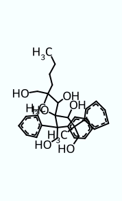 CCCCC(C)(CO)C(O)C(O)(C(O)C(C)(CO)c1ccccc1)C(CO)(c1ccccc1)c1ccccc1